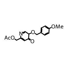 COc1ccc(COC2C=NC(COC(C)=O)=CC2=O)cc1